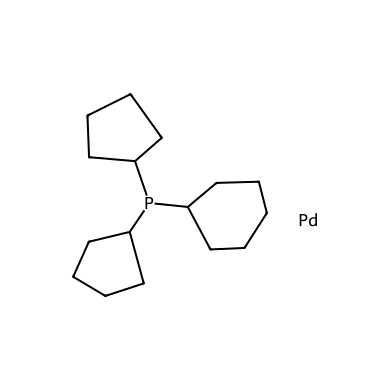 C1CCC(P(C2CCCC2)C2CCCC2)CC1.[Pd]